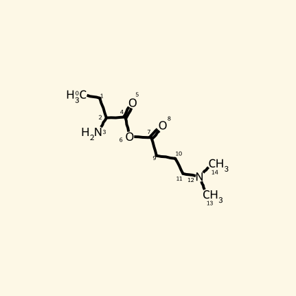 CCC(N)C(=O)OC(=O)CCCN(C)C